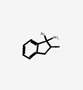 CC(=O)C1(N)c2ccccc2CC1C